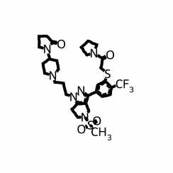 CS(=O)(=O)N1CCc2c(c(-c3ccc(C(F)(F)F)c(SCC(=O)N4CCCC4)c3)nn2CCCN2CCC(N3CCCC3=O)CC2)C1